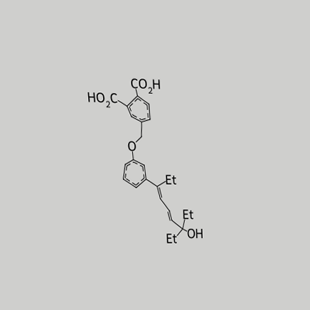 CC/C(=C\C=C\C(O)(CC)CC)c1cccc(OCc2ccc(C(=O)O)c(C(=O)O)c2)c1